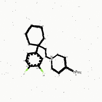 CCCCCC1CC[SiH](CCC2(c3ccc(F)c(F)c3)CCCCC2)CC1